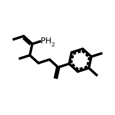 C=C(CCC(C)/C(P)=C\C)c1ccc(C)c(C)c1